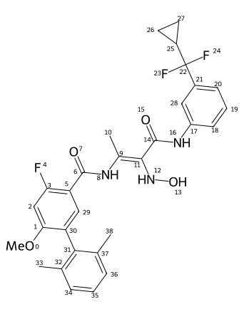 COc1cc(F)c(C(=O)N/C(C)=C(\NO)C(=O)Nc2cccc(C(F)(F)C3CC3)c2)cc1-c1c(C)cccc1C